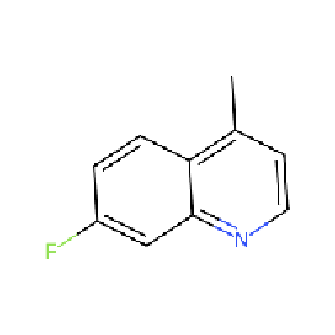 Cc1ccnc2cc(F)ccc12